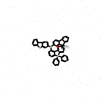 CC1(C)c2ccccc2-c2ccc(N(c3ccc4c(c3)sc3ccccc34)c3cccc4c3-c3ccccc3S4(c3ccccc3)c3ccccc3)cc21